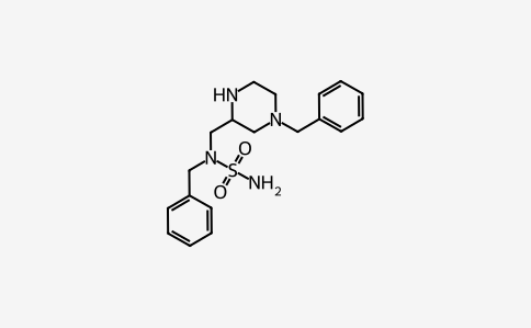 NS(=O)(=O)N(Cc1ccccc1)CC1CN(Cc2ccccc2)CCN1